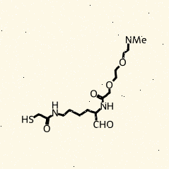 CNCCOCCOCC(=O)NC(C=O)CCCCNC(=O)CS